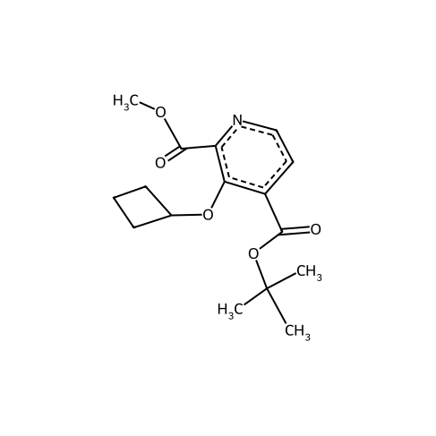 COC(=O)c1nccc(C(=O)OC(C)(C)C)c1OC1CCC1